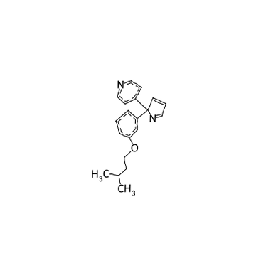 CC(C)CCOc1cccc(C2(c3ccncc3)C=CC=N2)c1